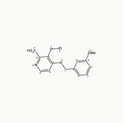 CCOc1c(OCc2cccc(OC)c2)ccnc1C(=O)O